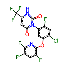 O=c1cc(C(F)(F)F)[nH]c(=O)n1-c1cc(Oc2nc(F)c(F)cc2F)c(Cl)cc1F